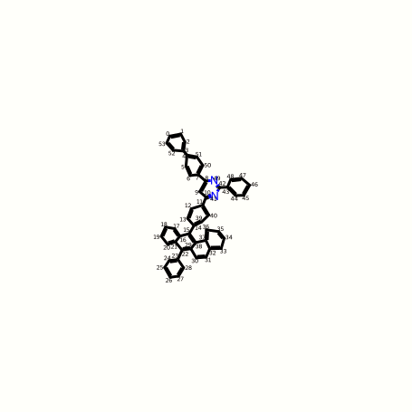 c1ccc(-c2ccc(-c3cc(-c4ccc(-c5c6ccccc6c(-c6ccccc6)c6ccc7ccccc7c56)cc4)nc(-c4ccccc4)n3)cc2)cc1